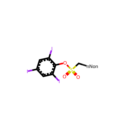 CCCCCCCCCCS(=O)(=O)Oc1c(I)cc(I)cc1I